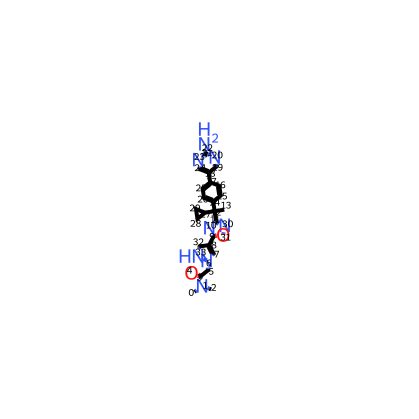 CN(C)C(=O)CN1C=C(c2nc(C(C)(c3ccc(-c4cnc(N)nc4)cc3)C3CC3)no2)CN1